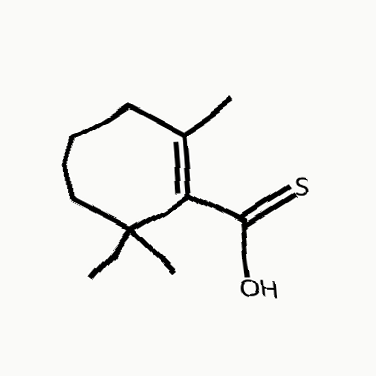 CC1=C(C(O)=S)C(C)(C)CCC1